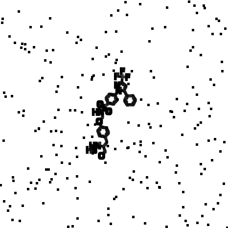 O=CC(Cc1ccc(OCNS(=O)(=O)c2ccc(-n3nc(C(F)(F)F)cc3-c3ccccc3)cc2)cc1)NS